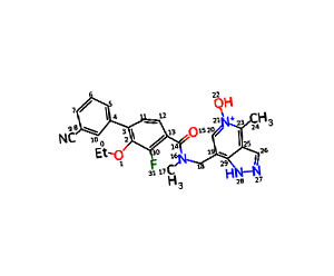 CCOc1c(-c2cccc(C#N)c2)ccc(C(=O)N(C)Cc2c[n+](O)c(C)c3cn[nH]c23)c1F